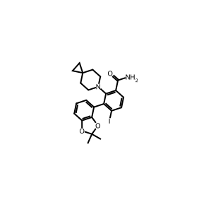 CC1(C)Oc2cccc(-c3c(I)ccc(C(N)=O)c3N3CCC4(CC3)CC4)c2O1